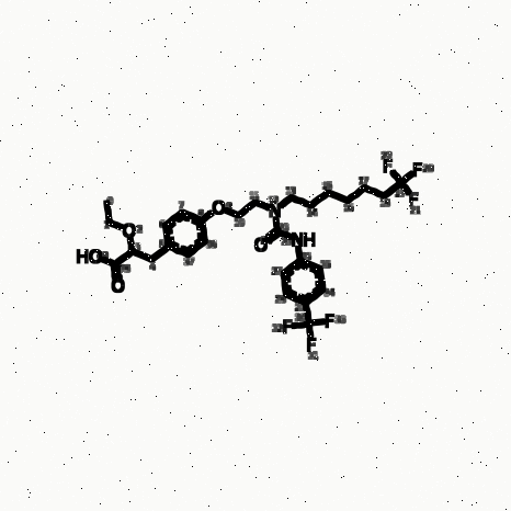 CCOC(Cc1ccc(OCCN(CCCCCCC(F)(F)F)C(=O)Nc2ccc(C(F)(F)F)cc2)cc1)C(=O)O